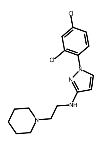 Clc1ccc(-n2ccc(NCCN3CCCCC3)n2)c(Cl)c1